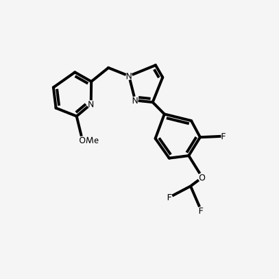 COc1cccc(Cn2ccc(-c3ccc(OC(F)F)c(F)c3)n2)n1